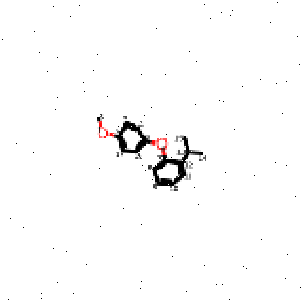 COc1ccc(Oc2ccccc2C(C)C)cc1